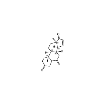 C=C1C[C@@H]2[C@H](CC[C@]3(C)C(=O)C=C[C@@H]23)[C@@]2(C)CCC(=O)CC12